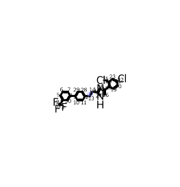 FC(F)(F)c1cccc(-c2ccc(/C=C/c3nc(-c4ccc(Cl)cc4Cl)c[nH]3)cc2)c1